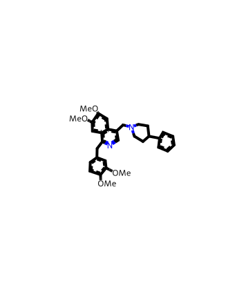 COc1ccc(Cc2ncc(CN3CCC(c4ccccc4)CC3)c3cc(OC)c(OC)cc23)cc1OC